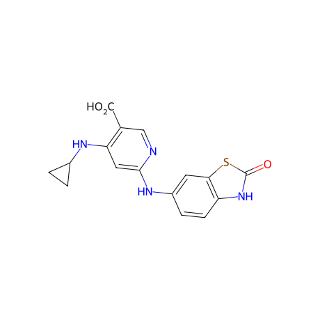 O=C(O)c1cnc(Nc2ccc3[nH]c(=O)sc3c2)cc1NC1CC1